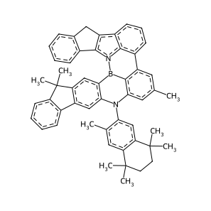 Cc1cc2c3c(c1)N(c1cc4c(cc1C)C(C)(C)CCC4(C)C)c1cc4c(cc1B3n1c3c(c5cccc-2c51)Cc1ccccc1-3)C(C)(C)c1ccccc1-4